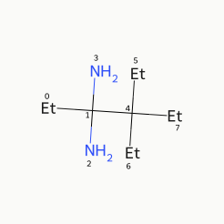 CCC(N)(N)C(CC)(CC)CC